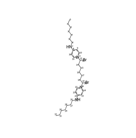 CCCCCCCNc1cc[n+](C(Br)CCCCCC(Br)[n+]2ccc(NCCCCCCC)cc2)cc1